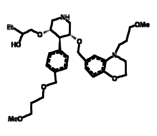 CCC(O)CO[C@@H]1CNC[C@H](OCc2ccc3c(c2)N(CCCOC)CCO3)[C@H]1c1ccc(COCCCOC)cc1